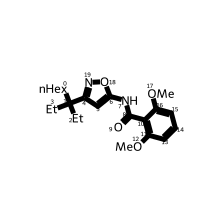 CCCCCCC(CC)(CC)c1cc(NC(=O)c2c(OC)cccc2OC)on1